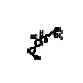 CCC(C)c1cncc(-c2cnc(NC(=O)/C=C/CN(C)C)c(C#N)c2)c1